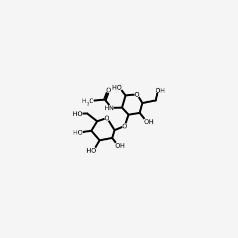 CC(=O)NC1C(O)OC(CO)C(O)C1OC1OC(CO)C(O)C(O)C1O